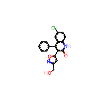 O=c1[nH]c2ccc(Cl)cc2c(-c2ccccc2)c1-c1cc(CO)no1